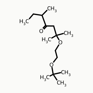 CCC(C)C(=O)CC(C)(C)OCCOC(C)(C)C